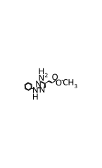 CCOC(=O)/C=C/c1cnc(Nc2ccccc2)nc1N